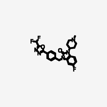 CN1CCC(n2c(=O)n(Cc3ccc(-c4nnc(C(F)F)o4)cc3)c3cc(F)ccc32)CC1